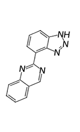 c1ccc2nc(-c3cccc4[nH]nnc34)ncc2c1